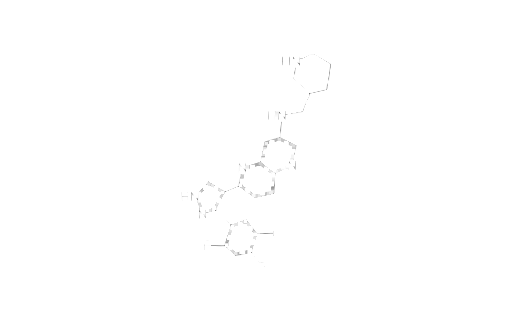 Fc1cc(F)c(-c2n[nH]cc2-c2ccc3ncc(NCC4CCCNC4)cc3n2)cc1Cl